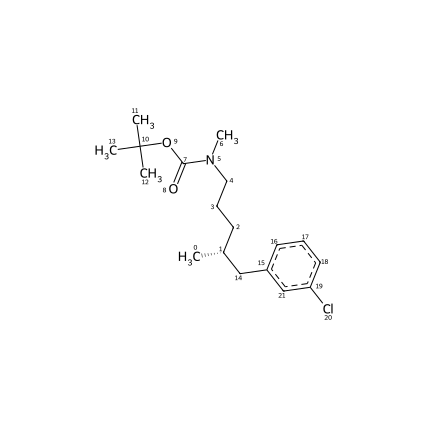 C[C@H](CCCN(C)C(=O)OC(C)(C)C)Cc1cccc(Cl)c1